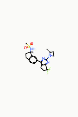 C[C@H]1CCN1c1nc(-c2ccc3c(c2)[C@H](NS(C)(=O)=O)CC3)c2c(n1)C(F)(F)CC2